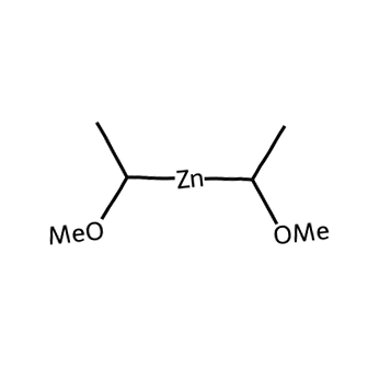 CO[CH](C)[Zn][CH](C)OC